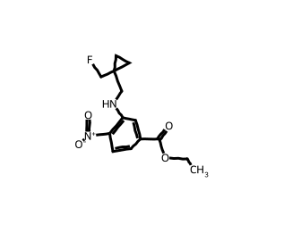 CCOC(=O)c1ccc([N+](=O)[O-])c(NCC2(CF)CC2)c1